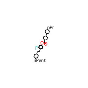 CCCCCC1CCC(CCc2ccc(OC(=O)C3CCC(C4CCC(CCC)CC4)CC3)cc2F)CC1